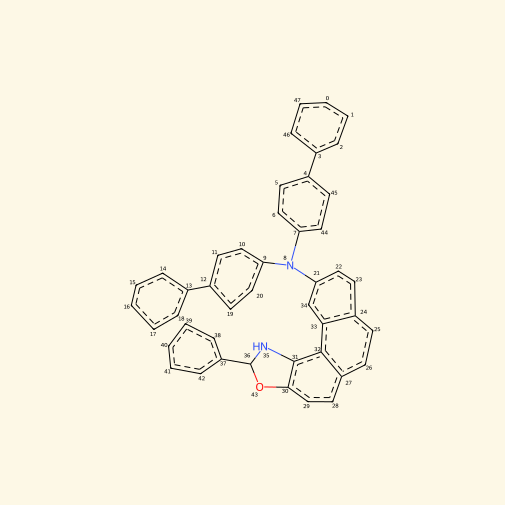 c1ccc(-c2ccc(N(c3ccc(-c4ccccc4)cc3)c3ccc4ccc5ccc6c(c5c4c3)NC(c3ccccc3)O6)cc2)cc1